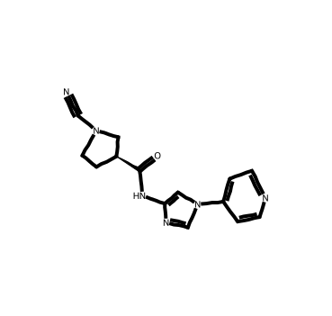 N#CN1CC[C@H](C(=O)Nc2cn(-c3ccncc3)cn2)C1